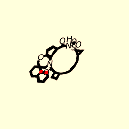 COC1C2CCC2CC=CCC2CC2S(=O)(=O)NC(=O)c2ccc3c(c2)N1CC1(CCCc2ccccc21)CO3